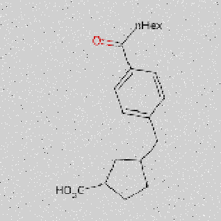 CCCCCCC(=O)c1ccc(CC2CCC(C(=O)O)C2)cc1